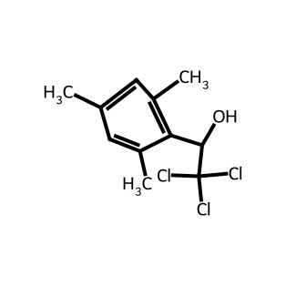 Cc1cc(C)c(C(O)C(Cl)(Cl)Cl)c(C)c1